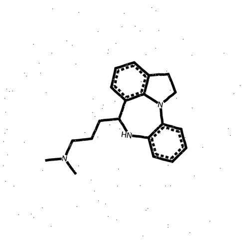 CN(C)CCCC1Nc2ccccc2N2CCc3cccc1c32